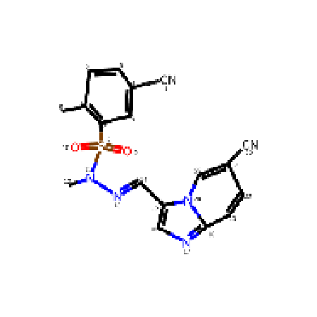 Cc1ccc(C#N)cc1S(=O)(=O)N(C)N=Cc1cnc2ccc(C#N)cn12